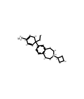 CCC1(c2ccc3c(c2)CCN(C2CCC2)CC3)C=CC(N)=CC1